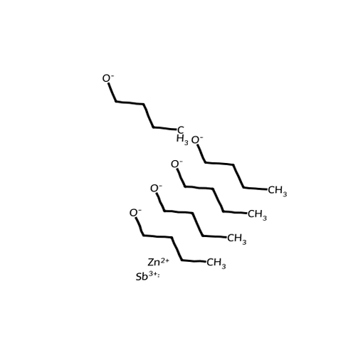 CCCC[O-].CCCC[O-].CCCC[O-].CCCC[O-].CCCC[O-].[Sb+3].[Zn+2]